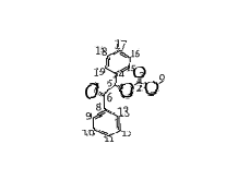 COC(=O)OC(C(=O)c1ccccc1)c1ccccc1